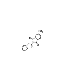 Cc1ccc2c(c1)C(=O)N(C(=O)Cc1ccccc1)C2=O